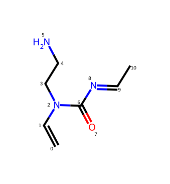 C=CN(CCN)C(=O)N=CC